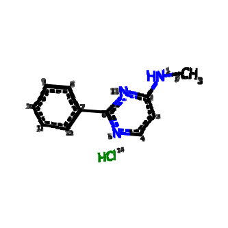 CNc1ccnc(-c2ccccc2)n1.Cl